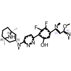 C=N/C(=C\C(=N/C)OC)c1cc(O)c(-c2ccc(N(C)[C@H]3C[C@]4(C)CCC[C@](C)(C3)N4)nn2)c(F)c1F